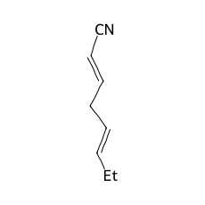 CCC=CCC=CC#N